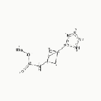 CC(C)(C)OC(=O)NC12CC(c3nnn[nH]3)(C1)C2